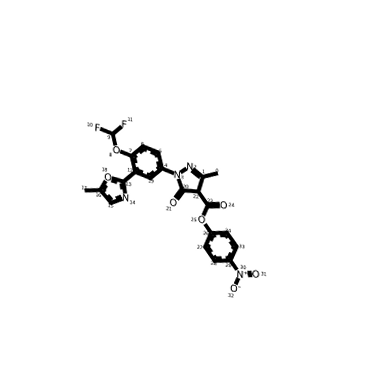 CC1=NN(c2ccc(OC(F)F)c(-c3ncc(C)o3)c2)C(=O)C1C(=O)Oc1ccc([N+](=O)[O-])cc1